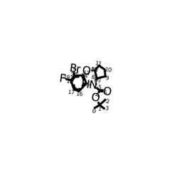 CC(C)(C)OC(=O)N[C@@H]1CCC[C@H]1Oc1cccc(F)c1Br